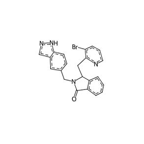 O=C1c2ccccc2C(Cc2ncccc2Br)N1Cc1ccc2[nH]ncc2c1